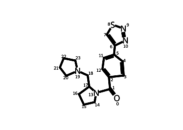 O=C(c1ccc(-c2csnn2)cc1)N1CCCC1CN1CCCC1